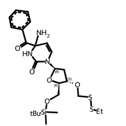 CCSSCO[C@H]1C[C@H](N2C=CC(N)(C(=O)c3ccccc3)NC2=O)O[C@@H]1CO[Si](C)(C)C(C)(C)C